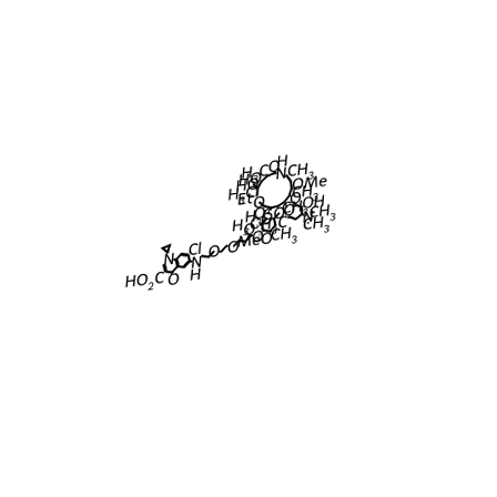 CC[C@H]1OC(=O)[C@H](C)[C@@H](OC2C[C@@](C)(OC)[C@H](OC(=O)CCOCCOCCNc3cc4c(=O)c(C(=O)O)cn(C5CC5)c4cc3Cl)[C@H](C)O2)[C@H](C)C(O[C@@H]2O[C@H](C)C[C@H](N(C)C)[C@H]2O)[C@](C)(OC)C[C@@H](C)NC(=O)[C@H](C)[C@@H](O)[C@]1(C)O